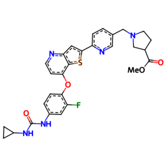 COC(=O)C1CCN(Cc2ccc(-c3cc4nccc(Oc5ccc(NC(=O)NC6CC6)cc5F)c4s3)nc2)C1